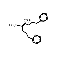 O=C(O)C(CCCc1ccccc1)=C(CCCc1ccccc1)C(=O)O